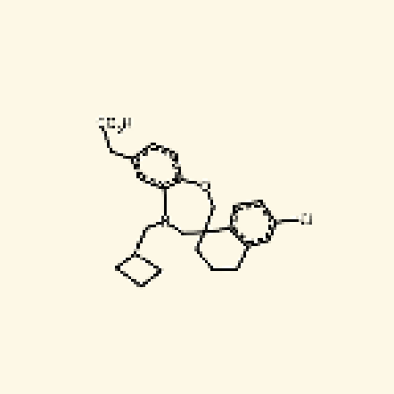 O=C(O)Cc1ccc2c(c1)N(CC1CCC1)CC1(CCCc3cc(Cl)ccc31)CO2